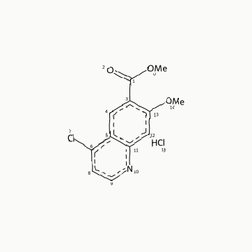 COC(=O)c1cc2c(Cl)ccnc2cc1OC.Cl